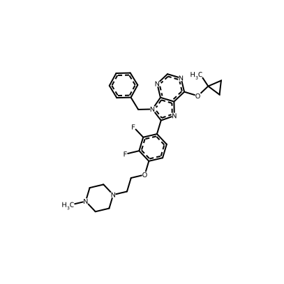 CN1CCN(CCOc2ccc(-c3nc4c(OC5(C)CC5)ncnc4n3Cc3ccccc3)c(F)c2F)CC1